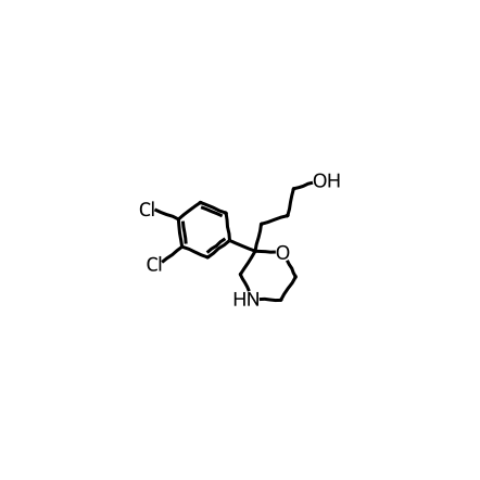 OCCCC1(c2ccc(Cl)c(Cl)c2)CNCCO1